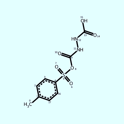 Cc1ccc(S(=O)(=O)OC(=O)NNC(=O)O)cc1